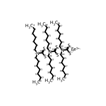 CCCCCCCN(CCCCCCC)C(=S)[S-].CCCCCCCN(CCCCCCC)C(=S)[S-].CCCCCCCN(CCCCCCC)C(=S)[S-].[Fe+3]